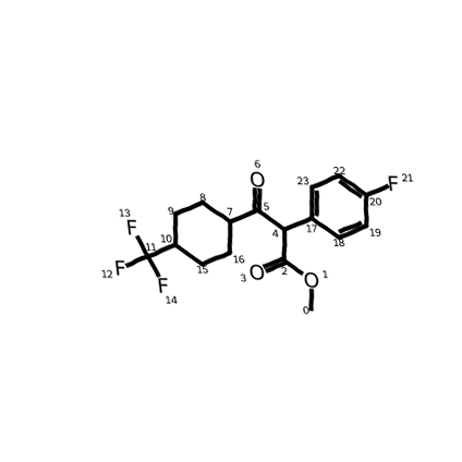 COC(=O)C(C(=O)C1CCC(C(F)(F)F)CC1)c1ccc(F)cc1